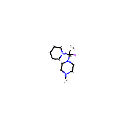 CC(C)N1CCN(C(C)(I)N2CCCCC2)CC1